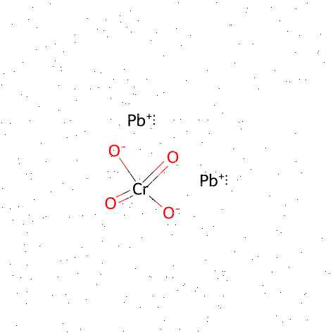 [O]=[Cr](=[O])([O-])[O-].[Pb+].[Pb+]